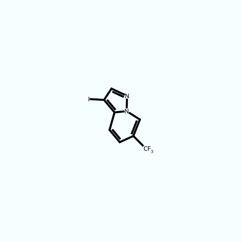 FC(F)(F)c1ccc2c(I)cnn2c1